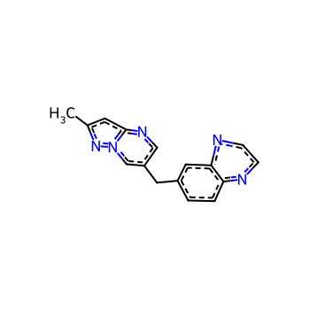 Cc1cc2ncc(Cc3ccc4nccnc4c3)cn2n1